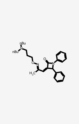 CCCCN(CCCC)CCCON=C(C)C=C1C(=O)N(c2ccccc2)C1c1ccccc1